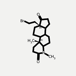 CN1C(=O)CC[C@]2(C)C3CC[C@]4(CCBr)C(=O)CCC4C3CCC12